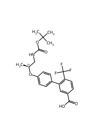 C[C@@H](CNC(=O)OC(C)(C)C)Oc1ccc(-c2cc(C(=O)O)ccc2C(F)(F)F)cc1